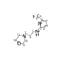 FC(F)(F)c1cc[c]c(NCCCN2CCOCC2)n1